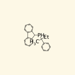 CCC(C)(PC1c2ccccc2-c2ccccc21)c1ccccc1